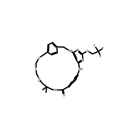 CC1(C)CNCCCOc2ccc(cc2)CNc2cc(nc(OCC(F)(F)F)n2)Nc2ccc(cn2)C(=O)NC1